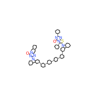 O=c1nc(-n2c3ccccc3c3cc(-c4cccc(-c5ccc(-c6ccc(-c7cccc(-c8ccc9c(c8)c8ccccc8n9-c8sc9nc(-c%10ccccc%10)nc(=O)n9c8-c8ccccc8)c7)cc6)cc5)c4)ccc32)nc2cc3ccccc3cn12